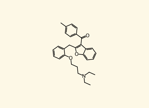 CCN(CC)CCCOc1ccccc1Cc1oc2ccccc2c1C(=O)c1ccc(C)cc1